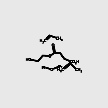 C=CC.C=CC.CC(C)OC(C)C.O=C(O)CCC(=O)OCCO